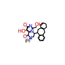 CC(C)N1CC(C2CC3=C(CCC=C3)Cc3ccccc32)n2c(CO)nc(=O)c(O)c2C1=O